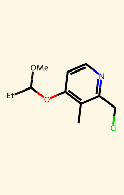 CCC(OC)Oc1ccnc(CCl)c1C